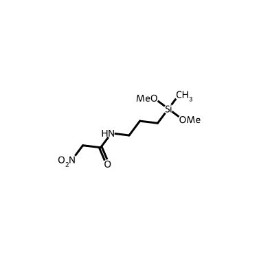 CO[Si](C)(CCCNC(=O)C[N+](=O)[O-])OC